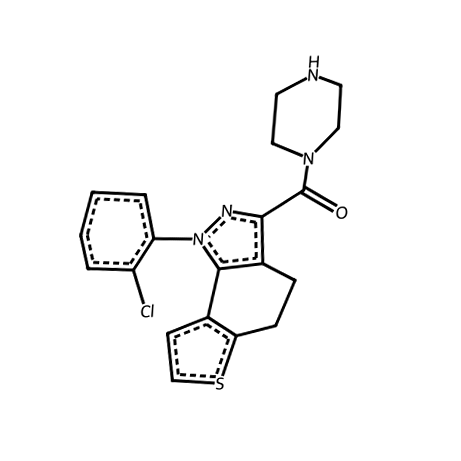 O=C(c1nn(-c2ccccc2Cl)c2c1CCc1sccc1-2)N1CCNCC1